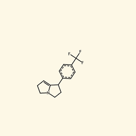 FC(F)(F)c1ccc(C2CCN3CCC=C23)cc1